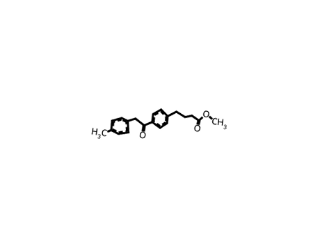 COC(=O)CCCc1ccc(C(=O)Cc2ccc(C)cc2)cc1